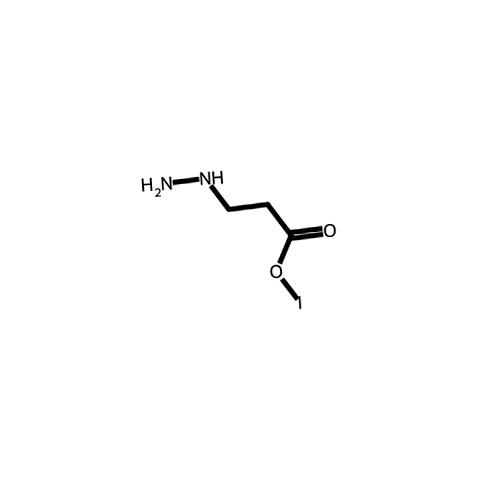 NNCCC(=O)OI